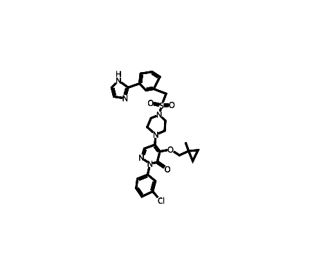 CC1(COc2c(N3CCN(S(=O)(=O)Cc4cccc(-c5ncc[nH]5)c4)CC3)cnn(-c3cccc(Cl)c3)c2=O)CC1